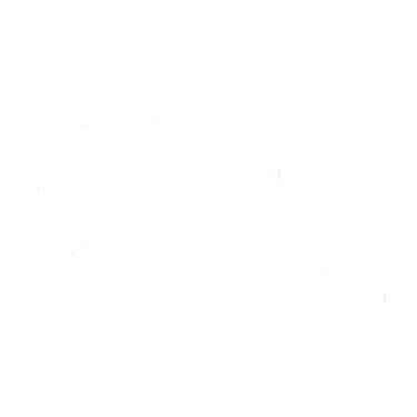 C=CC(=O)OCC(O)COc1cc(Cl)c(Cl)c(Cl)c1Cl